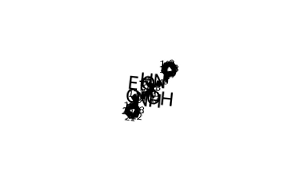 CCO[C@H](CNCc1ccccc1)[C@@H](O)CNC(=O)c1ccccc1